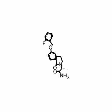 C[C@H](C(N)=O)N1CCc2cc(OCc3ccccc3F)ccc2C1=O